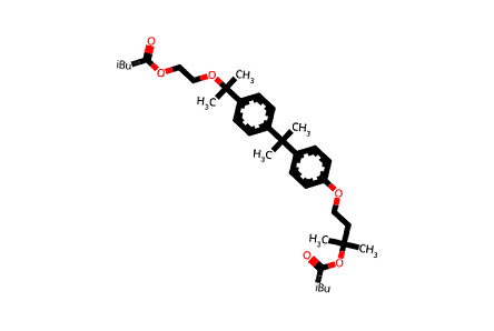 CCC(C)C(=O)OCCOC(C)(C)c1ccc(C(C)(C)c2ccc(OCCC(C)(C)OC(=O)C(C)CC)cc2)cc1